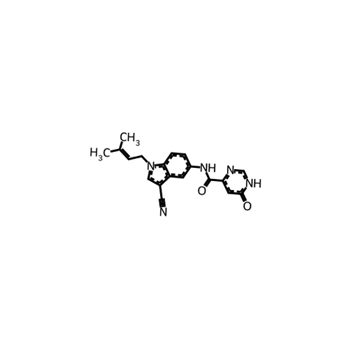 CC(C)=CCn1cc(C#N)c2cc(NC(=O)c3cc(=O)[nH]cn3)ccc21